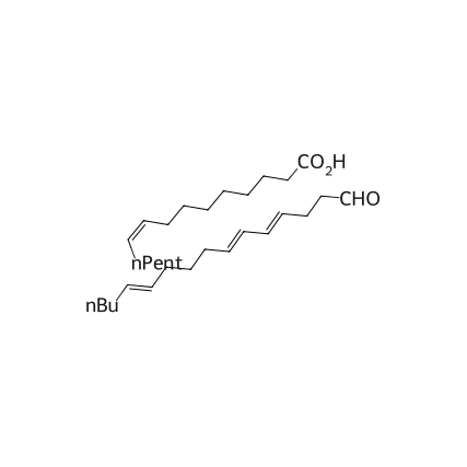 CCCCC/C=C\CCCCCCCC(=O)O.CCCCC=CCCCC=CC=CCCC=O